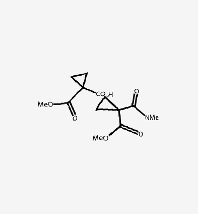 CNC(=O)C1(C(=O)OC)CC1.COC(=O)C1(C(=O)O)CC1